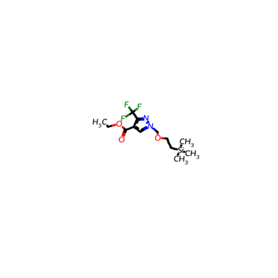 CCOC(=O)c1cn(COCC[Si](C)(C)C)nc1C(F)(F)F